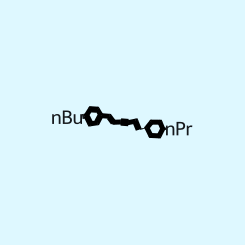 CCCCc1ccc(C=CC#CC=C[C@H]2CC[C@H](CCC)CC2)cc1